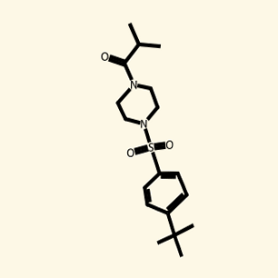 CC(C)C(=O)N1CCN(S(=O)(=O)c2ccc(C(C)(C)C)cc2)CC1